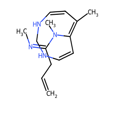 C=CC/C(=N/C)N(C)C1=C(C)\C=C/NCN/C=C\1